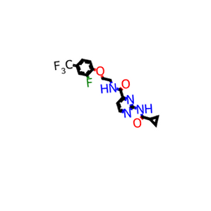 O=C(NCCOc1ccc(C(F)(F)F)cc1F)c1ccnc(NC(=O)C2CC2)n1